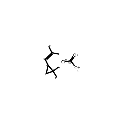 CC(C)=CC1CC1(C)C.O=C(O)Cl